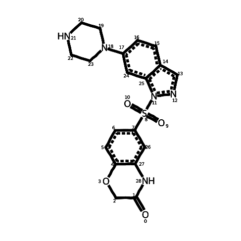 O=C1COc2ccc(S(=O)(=O)n3ncc4ccc(N5CCNCC5)cc43)cc2N1